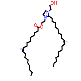 CCCCCCCC/C=C\CCCCCCCCC1N(CCO)CCN1CCOC(=O)CCCCCCC/C=C\CCCCCCCC